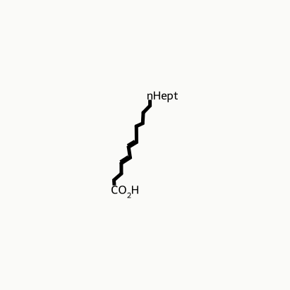 CCCCCCCCCCC/C=C/C=C/CCC(=O)O